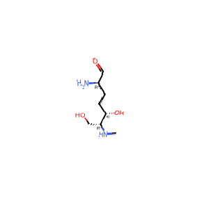 CN[C@H](CO)[C@@H](O)CC[C@@H](N)C=O